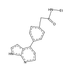 CCNC(=O)Cc1ccc(-c2ccnc3[nH]ccc23)cc1